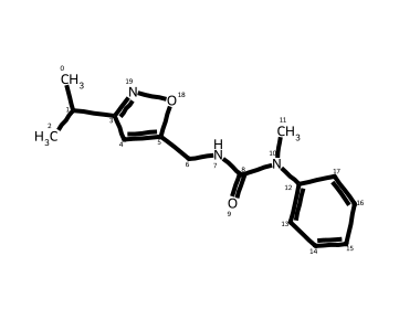 CC(C)c1cc(CNC(=O)N(C)c2ccccc2)on1